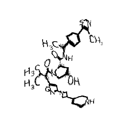 Cc1ncsc1-c1ccc([C@H](C)NC(=O)[C@@H]2C[C@@H](O)CN2C(=O)[C@@H](c2cc(N3CC(C4CCNCC4)C3)no2)C(C)C)cc1